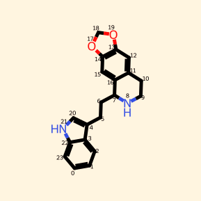 c1ccc2c(CCC3NCCc4cc5c(cc43)OCO5)c[nH]c2c1